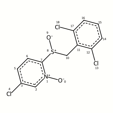 [O-][n+]1cc(Cl)ccc1[S+]([O-])Cc1c(Cl)cccc1Cl